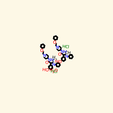 Cc1c(C(=O)NC2CCN(CCOc3ccccc3)CC2)c2cc(O)ccc2n1-c1ccccc1.Cc1c(C(=O)NC2CCN(CCOc3ccccc3)CC2)c2cc(O)ccc2n1-c1ccccc1.Cl.Cl.O